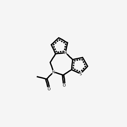 CC(=O)N1Cc2cccn2-c2ccsc2C1=O